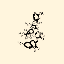 Cc1ccc2[nH]c(=O)c(C[C@H](NC(=O)[C@@H]3[C@@H]4[C@H](CN3C(=O)[C@@H](Nc3ccnc(C)n3)C(C)(C)C)C4(C)C)C(N)=O)cc2c1